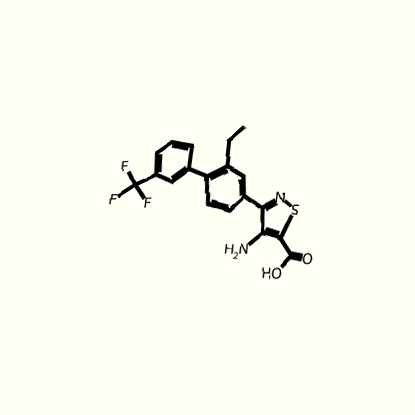 CCc1cc(-c2nsc(C(=O)O)c2N)ccc1-c1cccc(C(F)(F)F)c1